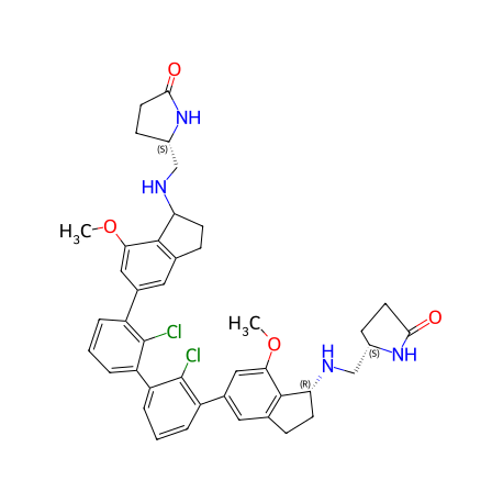 COc1cc(-c2cccc(-c3cccc(-c4cc5c(c(OC)c4)[C@H](NC[C@@H]4CCC(=O)N4)CC5)c3Cl)c2Cl)cc2c1C(NC[C@@H]1CCC(=O)N1)CC2